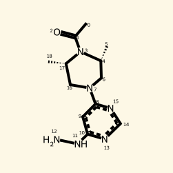 CC(=O)N1[C@H](C)CN(c2cc(NN)ncn2)C[C@@H]1C